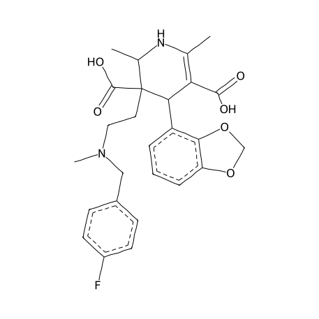 CC1=C(C(=O)O)C(c2cccc3c2OCO3)C(CCN(C)Cc2ccc(F)cc2)(C(=O)O)C(C)N1